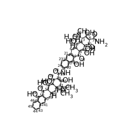 CN(C)[C@@H]1C(O)=C(C(N)=O)C(=O)[C@@]2(O)C(O)=C3C(=O)c4c(cc5ccc(NC(=O)C6=C(O)[C@@H](N(C)C)[C@@H]7C[C@@H]8Cc9cc%10ccccc%10c(O)c9C(=O)C8=C(O)[C@]7(O)C6=O)cc5c4O)C[C@H]3[C@H](O)[C@@H]12